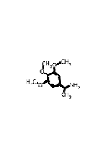 COc1cc(C(C)N)cc(OC)c1OC